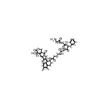 CC[C@@]1(O)C(=O)OCc2c1cc1n(c2=O)Cc2c-1nc1cc(F)c(C)c3c1c2C(NC(=O)COCNC(=O)CNC(=O)[C@H](Cc1ccccc1)NC(=O)CNC(=O)CN)CC3